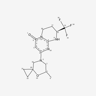 CC1CN(c2cc(=O)n3c(n2)N[C@H](C(F)(F)F)CC3)CC2(CC2)O1